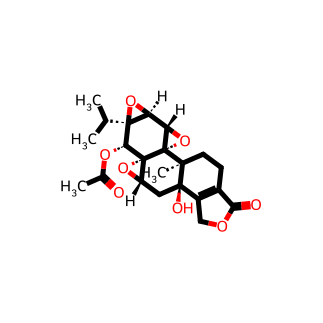 CC(=O)O[C@@H]1[C@@]2(C(C)C)O[C@H]2[C@@H]2O[C@]23[C@]12O[C@H]2C[C@@]1(O)C2=C(CC[C@]31C)C(=O)OC2